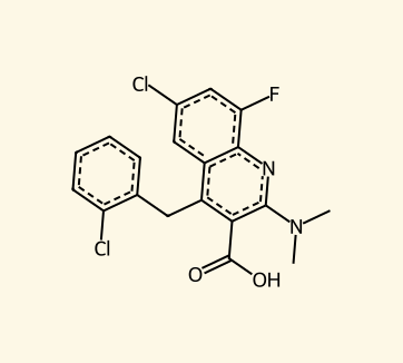 CN(C)c1nc2c(F)cc(Cl)cc2c(Cc2ccccc2Cl)c1C(=O)O